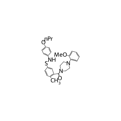 CCCOc1ccc(NSc2ccc(C)c(C(=O)N3CCN(c4ccccc4OC)CC3)c2)cc1